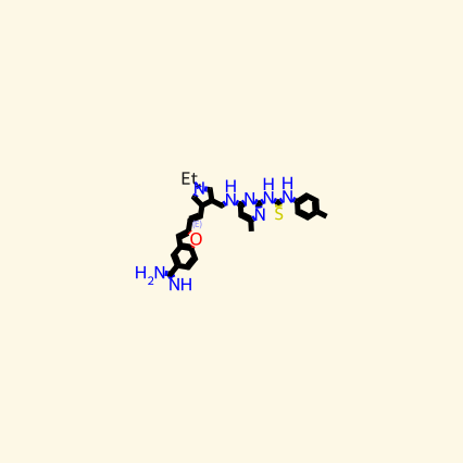 CCN1CC(/C=C/c2cc3cc(C(=N)N)ccc3o2)C(CNc2cc(C)nc(NC(=S)Nc3ccc(C)cc3)n2)C1